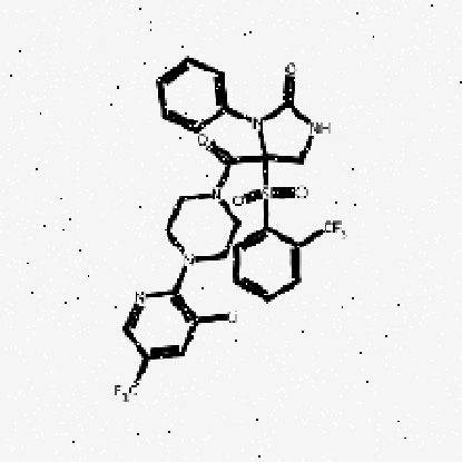 O=C1NCC(C(=O)N2CCN(c3ncc(C(F)(F)F)cc3Cl)CC2)(S(=O)(=O)c2ccccc2C(F)(F)F)N1c1ccccc1